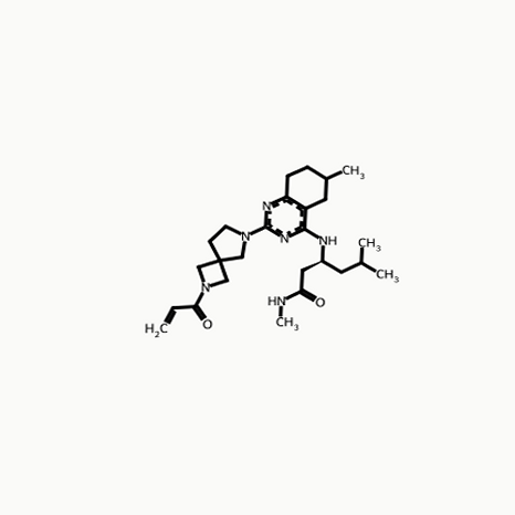 C=CC(=O)N1CC2(CCN(c3nc4c(c(N[C@H](CC(=O)NC)CC(C)C)n3)CC(C)CC4)C2)C1